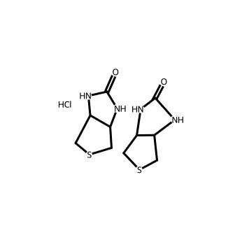 Cl.O=C1NC2CSCC2N1.O=C1NC2CSCC2N1